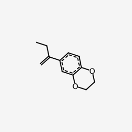 C=C(CC)c1ccc2c(c1)OCCO2